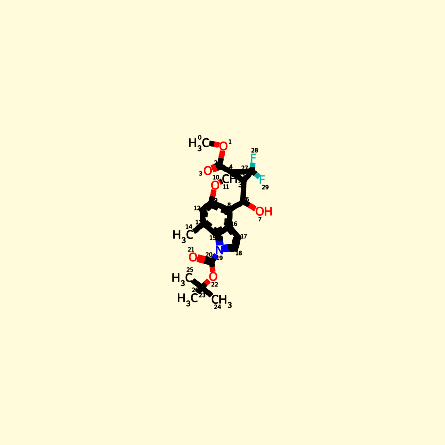 COC(=O)C1C(C(O)c2c(OC)cc(C)c3c2ccn3C(=O)OC(C)(C)C)C1(F)F